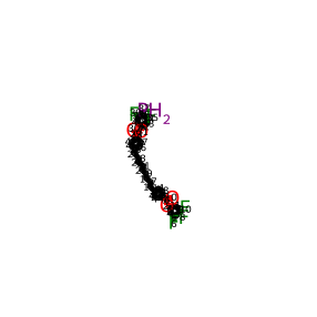 O=C(Oc1cc(F)c(F)c(F)c1)c1ccc(CCCCCCCCCc2ccc(C(=O)Oc3cc(F)c(P)c(F)c3)cc2)cc1